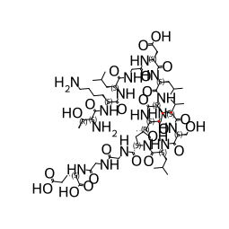 CC(C)C[C@H](NC(=O)[C@H](CCCCN)NC(=O)[C@@H](N)[C@@H](C)O)C(=O)NCC(=O)N[C@@H](CC(=O)O)C(=O)N[C@@H](CC(C)C)C(=O)N[C@H](C(=O)N[C@H](C(=O)N[C@H](C(=O)N[C@@H](CO)C(=O)N[C@@H](CC(C)C)C(=O)N1CCC[C@H]1C(=O)NCC(=O)NCC(=O)N[C@@H](CCC(=O)O)C(=O)O)C(C)C)[C@@H](C)O)C(C)C